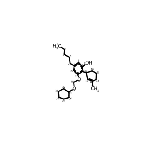 CCCCCc1cc(O)c(C2C=C(C)CCC2)c(OCOC2CCCCC2)c1